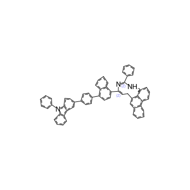 N/C(=N\C(=C/Cc1cc2ccccc2c2ccccc12)c1ccc(-c2ccc(-c3ccc4c(c3)c3ccccc3n4-c3ccccc3)cc2)c2ccccc12)c1ccccc1